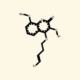 CC/C=C/CCOc1c(OC(C)C)c(=O)oc2c(OC(C)(C)C)cccc12